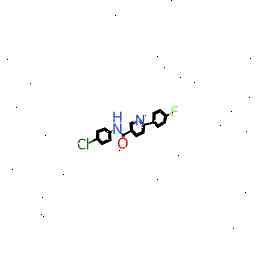 O=C(Nc1ccc(Cl)cc1)c1ccc(-c2ccc(F)cc2)nc1